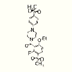 CCOc1ccc(S(C)(=O)=O)c(F)c1C(=O)N1CCN(c2ccc(S(C)(=O)=O)cc2)CC1